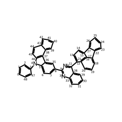 c1ccc(-n2c3ccc(-c4nc(-c5ccc6c7c(cccc57)-c5ccccc5-6)c5ccccc5n4)cc3c3c4ccccc4ccc32)cc1